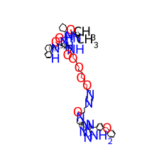 CN[C@@H](C)C(=O)NC(C(=O)N1C[C@@H](NC(=O)COCCOCCOCCOCCN2CCN(CCCC(=O)N3CCC[C@@H](n4nc(-c5ccc(Oc6ccccc6)cc5)c5c(N)ncnc54)C3)CC2)C[C@H]1C(=O)N[C@@H]1CCCc2ccccc21)C1CCCCC1